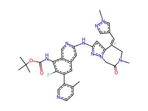 Cc1ccncc1-c1cc2cc(Nc3cc4n(n3)CC(=O)N(C)C/C4=C/c3cnn(C)c3)ncc2c(NC(=O)OC(C)(C)C)c1F